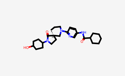 O=C(Nc1ccc(N2CCC[C@@]3(CCN(C4CCC(O)CC4)C3=O)C2)nc1)C1CCCCC1